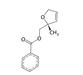 C[C@]1(COC(=O)c2ccccc2)C=CCO1